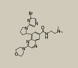 CN(C)CCNC(=O)c1cc(C2CCCN2c2cncc(Br)n2)c2nc(N3CCOCC3)cnc2c1